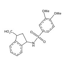 COc1ccc(S(=O)(=O)NC2CC(C(=O)O)c3ccccc32)cc1OC